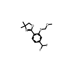 COCSc1cc(C(F)F)ccc1C1=NC(C)(C)CO1